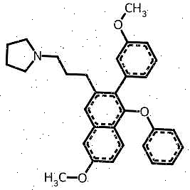 COc1cccc(-c2c(CCCN3CCCC3)cc3cc(OC)ccc3c2Oc2ccccc2)c1